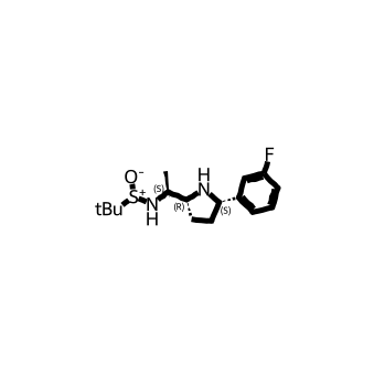 C[C@H](N[S+]([O-])C(C)(C)C)[C@H]1CC[C@@H](c2cccc(F)c2)N1